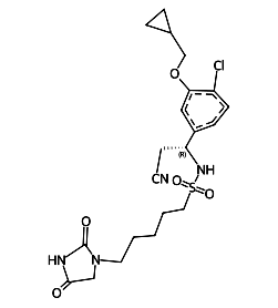 N#CC[C@@H](NS(=O)(=O)CCCCCN1CC(=O)NC1=O)c1ccc(Cl)c(OCC2CC2)c1